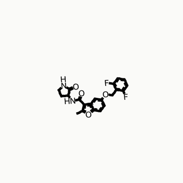 Cc1oc2ccc(OCc3c(F)cccc3F)cc2c1C(=O)NC1CCNC1=O